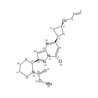 C=CCO[C@H]1C[C@@H](c2cc(Cl)n3nc([C@@H]4CCCCN4C(=O)OC(C)(C)C)cc3n2)C1